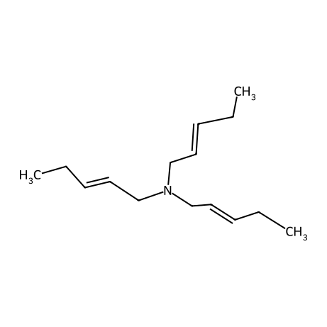 CCC=CCN(CC=CCC)CC=CCC